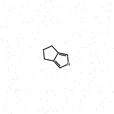 C1=C2CCCC2=C[N]1